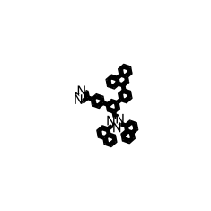 c1cc(-c2cc(-c3ccc(-c4cncnc4)cc3)cc(-c3nc(-c4cccc5ccccc45)nc(-c4cccc5ccccc45)n3)c2)cc(-c2cc3ccccc3c3ccccc23)c1